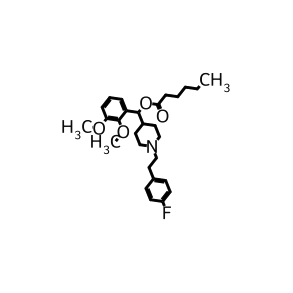 CCCCCC(=O)OC(c1cccc(OC)c1OC)C1CCN(CCc2ccc(F)cc2)CC1